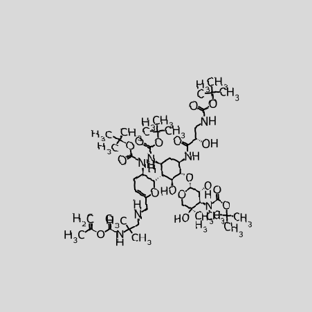 C=C(C)OC(=O)NC(C)(C)CNCC1=CC[C@@H](NC(=O)OC(C)(C)C)C([C@H]2[C@H](O)[C@@H](O[C@H]3OC[C@](C)(O)[C@H](N(C)C(=O)OC(C)(C)C)[C@H]3O)[C@H](NC(=O)[C@@H](O)CNC(=O)OC(C)(C)C)C[C@@H]2NC(=O)OC(C)(C)C)O1